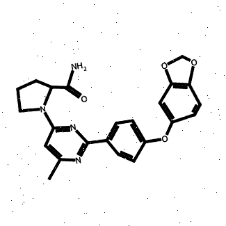 Cc1cc(N2CCCC2C(N)=O)nc(-c2ccc(Oc3ccc4c(c3)OCO4)cc2)n1